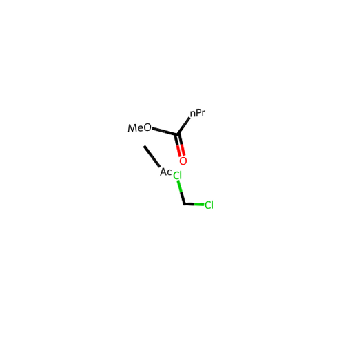 CC(C)=O.CCCC(=O)OC.ClCCl